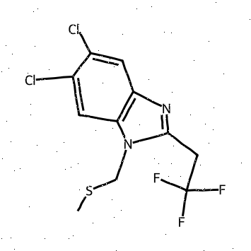 CSCn1c(CC(F)(F)F)nc2cc(Cl)c(Cl)cc21